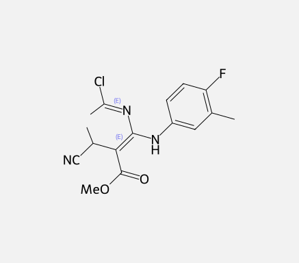 COC(=O)/C(=C(/N=C(\C)Cl)Nc1ccc(F)c(C)c1)C(C)C#N